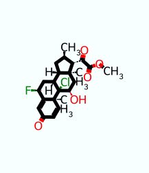 COC(=O)C(=O)[C@H]1[C@H](C)C[C@H]2[C@@H]3C[C@H](F)C4=CC(=O)C=C[C@]4(C)[C@@]3(Cl)[C@@H](O)C[C@@]21C